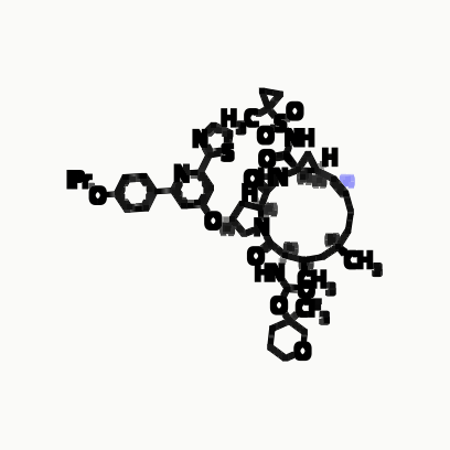 CC(C)Oc1ccc(-c2cc(O[C@@H]3C[C@H]4C(=O)N[C@]5(C(=O)NS(=O)(=O)C6(C)CC6)C[C@H]5/C=C\CC[C@@H](C)C[C@@H](C)[C@H](NC(=O)OC5(C(F)(F)F)CCCOC5)C(=O)N4C3)cc(-c3nccs3)n2)cc1